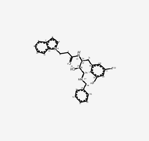 O=C(CCn1ccc2ccccc21)N[C@@H](Cc1cc(F)cc(F)c1)[C@H](O)CNCc1ccccc1